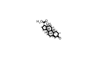 CC(=O)[C@H]1CC[C@H]2[C@@H]3CCC4=CC(=O)CC[C@@H]4[C@H]3CC[C@]12C